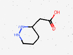 O=C(O)CC1CCCNN1